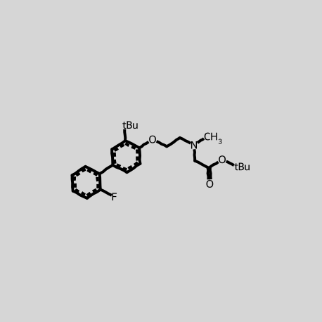 CN(CCOc1ccc(-c2ccccc2F)cc1C(C)(C)C)CC(=O)OC(C)(C)C